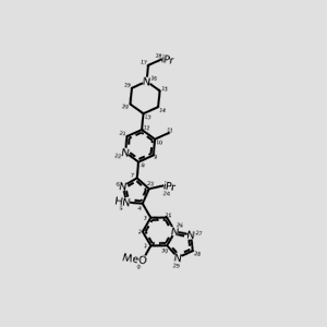 COc1cc(-c2[nH]nc(-c3cc(C)c(C4CCN(CC(C)C)CC4)cn3)c2C(C)C)cn2ncnc12